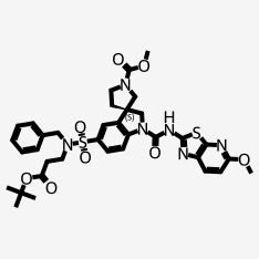 COC(=O)N1CC[C@@]2(C1)CN(C(=O)Nc1nc3ccc(OC)nc3s1)c1ccc(S(=O)(=O)N(CCC(=O)OC(C)(C)C)Cc3ccccc3)cc12